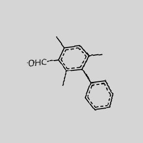 Cc1cc(C)c(-c2ccccc2)c(C)c1[C]=O